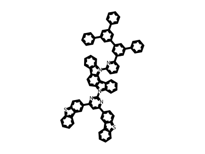 c1ccc(-c2cc(-c3ccccc3)cc(-c3cc(-c4ccccc4)cc(-c4cccc(-n5c6ccccc6c6ccc7c(c8ccccc8n7-c7nc(-c8ccc9sc%10ccccc%10c9c8)cc(-c8ccc9sc%10ccccc%10c9c8)n7)c65)n4)c3)c2)cc1